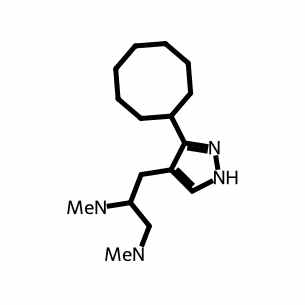 CNCC(Cc1c[nH]nc1C1CCCCCCC1)NC